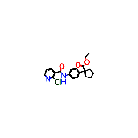 CCOC(=O)C1(c2ccc(NC(=O)c3cccnc3Cl)cc2)CCCC1